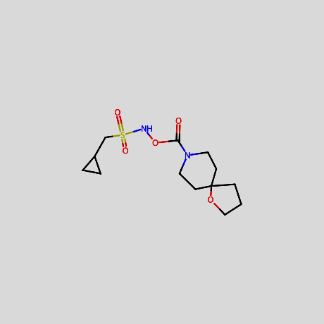 O=C(ONS(=O)(=O)CC1CC1)N1CCC2(CCCO2)CC1